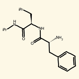 CC(C)C[C@@H](NC(=O)[C@H](N)Cc1ccccc1)C(=O)NC(C)C